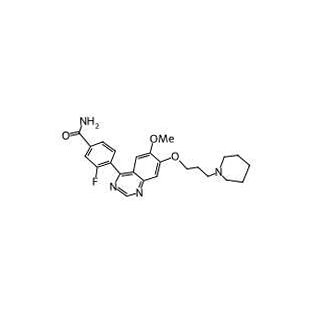 COc1cc2c(-c3ccc(C(N)=O)cc3F)ncnc2cc1OCCCN1CCCCC1